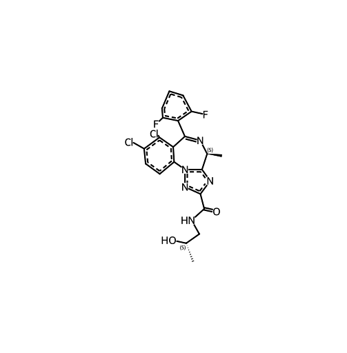 C[C@H](O)CNC(=O)c1nc2n(n1)-c1ccc(Cl)c(Cl)c1C(c1c(F)cccc1F)=N[C@H]2C